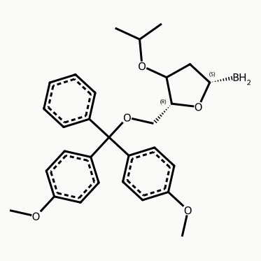 B[C@H]1CC(OC(C)C)[C@@H](COC(c2ccccc2)(c2ccc(OC)cc2)c2ccc(OC)cc2)O1